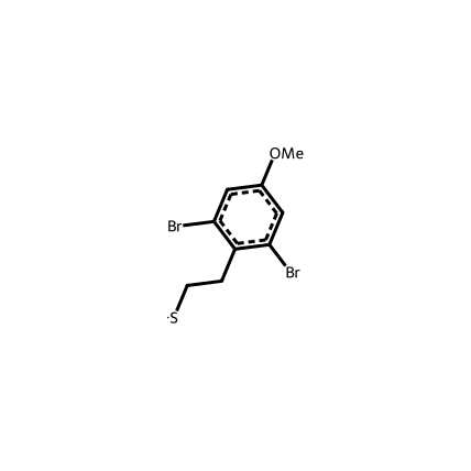 COc1cc(Br)c(CC[S])c(Br)c1